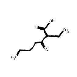 CCCCC(=O)C(CC)C(=O)O